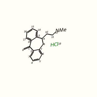 C=C1c2ccccc2CC(CCNC)c2ccccc21.Cl